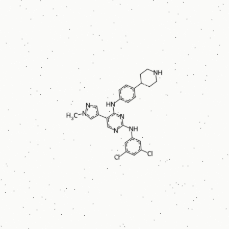 Cn1cc(-c2cnc(Nc3cc(Cl)cc(Cl)c3)nc2Nc2ccc(C3CCNCC3)cc2)cn1